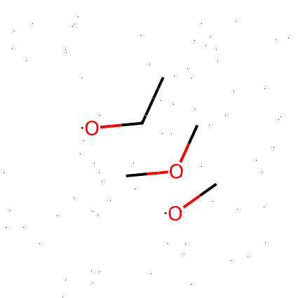 CC[O].COC.C[O]